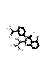 CC[C@@H](c1nc2cccc(Cl)c2c(=O)n1-c1cccc(C(N)=O)c1)N(C(=O)O)C(C)(C)C